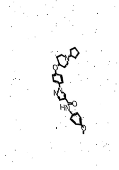 COc1ccc(NC(=O)c2cnn(-c3ccc(OC4CCN(C5CCCC5)CC4)cc3)c2)cc1